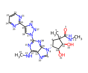 CNC(=O)C1(C)C[C@@H](n2cnc3c(NC)nc(-n4cc(-c5ncccn5)nn4)nc32)[C@H](O)[C@@H]1O